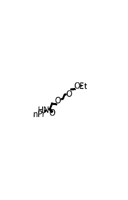 CCCNC(=O)CCOCCOCCOCC